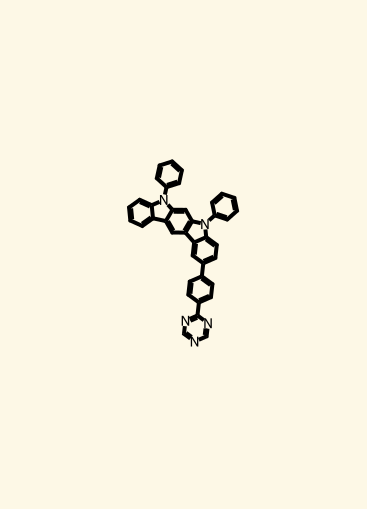 c1ccc(-n2c3ccccc3c3cc4c5cc(-c6ccc(-c7ncncn7)cc6)ccc5n(-c5ccccc5)c4cc32)cc1